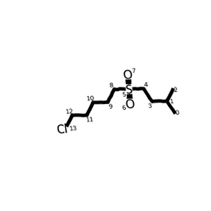 CC(C)CCS(=O)(=O)CCCCCCl